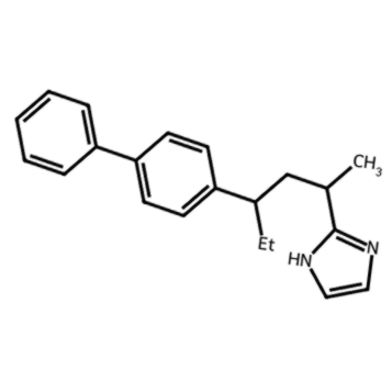 CCC(CC(C)c1ncc[nH]1)c1ccc(-c2ccccc2)cc1